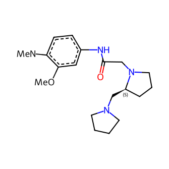 CNc1ccc(NC(=O)CN2CCC[C@H]2CN2CCCC2)cc1OC